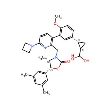 COc1ccc([C@@H]2C[C@H]2C(O)O)cc1-c1ccc(N2CCC2)nc1CN1C(=O)O[C@H](c2cc(C)cc(C)c2)[C@@H]1C